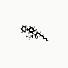 CCCCCCC(Sc1ccc(N2CCCCC2)cc1)C(=O)ON